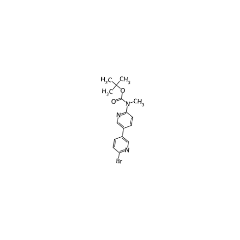 CN(C(=O)OC(C)(C)C)c1ccc(-c2ccc(Br)nc2)cn1